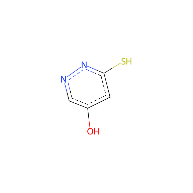 Oc1cnnc(S)c1